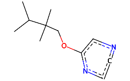 CC(C)C(C)(C)COc1cnccn1